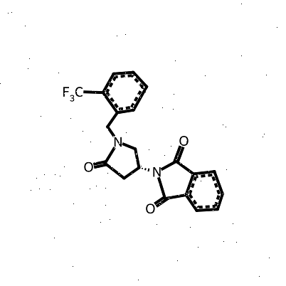 O=C1C[C@@H](N2C(=O)c3ccccc3C2=O)CN1Cc1ccccc1C(F)(F)F